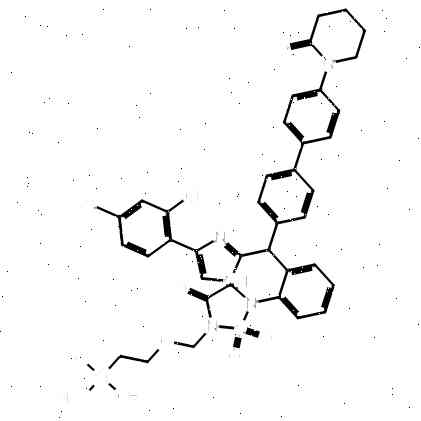 C[Si](C)(C)CCOCN1C(=O)CN(c2ccccc2C(c2ccc(-c3ccc(N4CCCCC4=O)cc3)cc2)c2nc(-c3ccc(Cl)cc3Cl)c[nH]2)S1(=O)=O